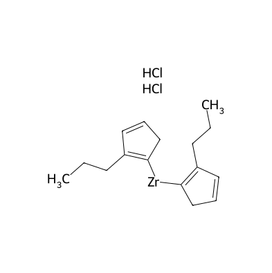 CCCC1=[C]([Zr][C]2=C(CCC)C=CC2)CC=C1.Cl.Cl